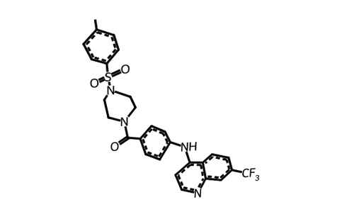 Cc1ccc(S(=O)(=O)N2CCN(C(=O)c3ccc(Nc4ccnc5cc(C(F)(F)F)ccc45)cc3)CC2)cc1